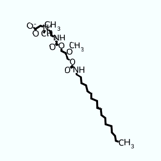 CCCCCCCCCCCCCCCCCCNC(=O)OCC(COC(=O)NCC[N+](C)(C)CC(=O)[O-])OC